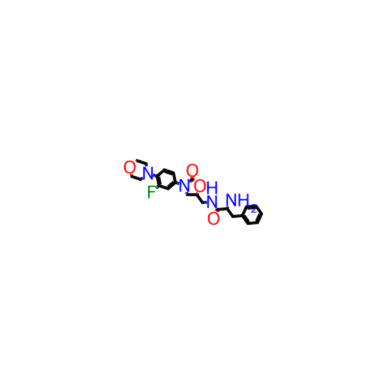 N[C@@H](Cc1ccccc1)C(=O)NCC1CN(c2ccc(N3CCOCC3)c(F)c2)C(=O)O1